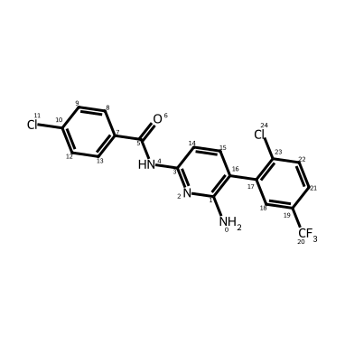 Nc1nc(NC(=O)c2ccc(Cl)cc2)ccc1-c1cc(C(F)(F)F)ccc1Cl